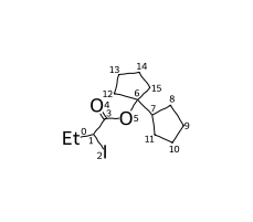 CCC(I)C(=O)OC1(C2CCCC2)CCCC1